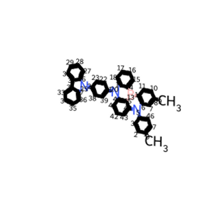 Cc1ccc(N2c3cc(C)ccc3B3c4ccccc4N(c4ccc(-n5c6ccccc6c6ccccc65)cc4)c4cccc2c43)cc1